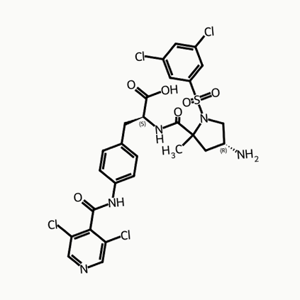 CC1(C(=O)N[C@@H](Cc2ccc(NC(=O)c3c(Cl)cncc3Cl)cc2)C(=O)O)C[C@@H](N)CN1S(=O)(=O)c1cc(Cl)cc(Cl)c1